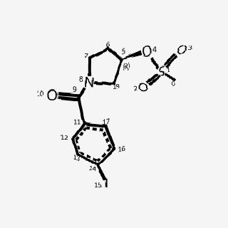 CS(=O)(=O)O[C@@H]1CCN(C(=O)c2ccc(I)cc2)C1